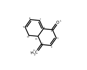 C=C1C=CC(=O)C2=CC=CCC12